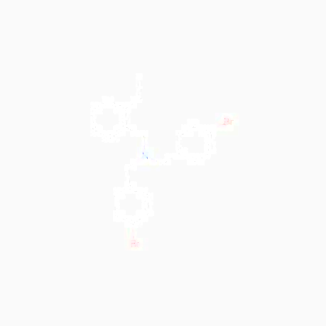 C=Cc1ccccc1CN(Cc1ccc(Br)cc1)Cc1ccc(Br)cc1